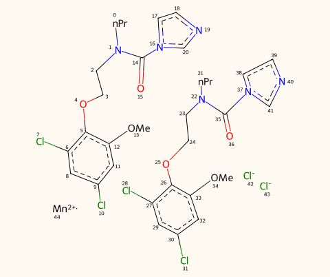 CCCN(CCOc1c(Cl)cc(Cl)cc1OC)C(=O)n1ccnc1.CCCN(CCOc1c(Cl)cc(Cl)cc1OC)C(=O)n1ccnc1.[Cl-].[Cl-].[Mn+2]